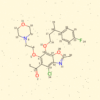 CC(=O)c1c(OCCN2CCOCC2)c(OCCC(C)c2ccc(F)cc2)c2oc(C)nc2c1Cl